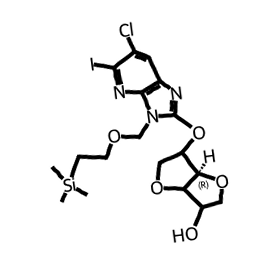 C[Si](C)(C)CCOCn1c(OC2COC3C(O)CO[C@H]23)nc2cc(Cl)c(I)nc21